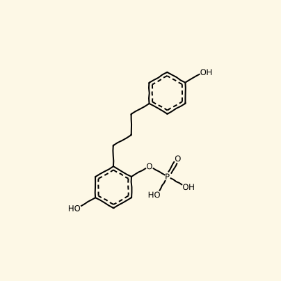 O=P(O)(O)Oc1ccc(O)cc1CCCc1ccc(O)cc1